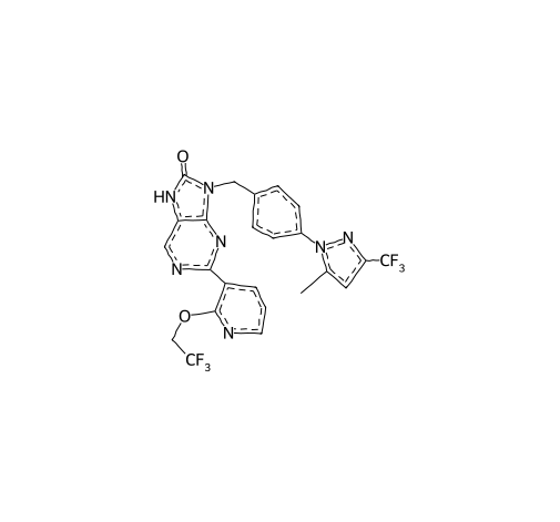 Cc1cc(C(F)(F)F)nn1-c1ccc(Cn2c(=O)[nH]c3cnc(-c4cccnc4OCC(F)(F)F)nc32)cc1